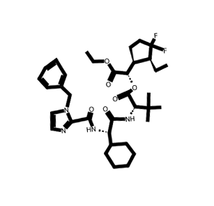 CCOC(=O)[C@@H](OC(=O)[C@@H](NC(=O)[C@@H](NC(=O)c1nccn1Cc1ccccc1)C1CCCCC1)C(C)(C)C)[C@H]1CCC(F)(F)[C@H]1CC